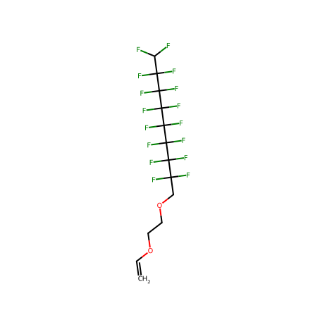 C=COCCOCC(F)(F)C(F)(F)C(F)(F)C(F)(F)C(F)(F)C(F)(F)C(F)(F)C(F)F